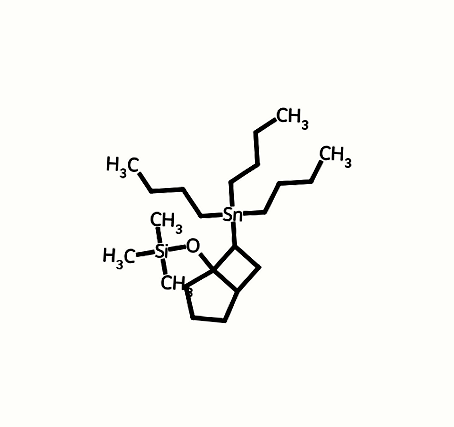 CCC[CH2][Sn]([CH2]CCC)([CH2]CCC)[CH]1CC2CCCC21O[Si](C)(C)C